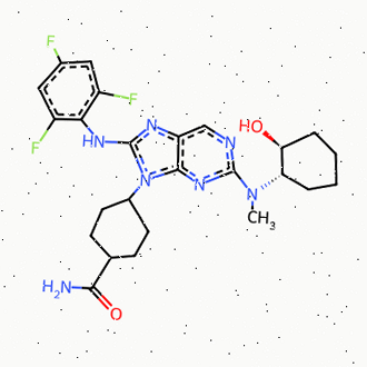 CN(c1ncc2nc(Nc3c(F)cc(F)cc3F)n(C3CCC(C(N)=O)CC3)c2n1)[C@H]1CCCC[C@@H]1O